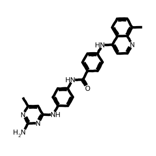 Cc1cc(Nc2ccc(NC(=O)c3ccc(Nc4ccnc5c(C)cccc45)cc3)cc2)nc(N)n1